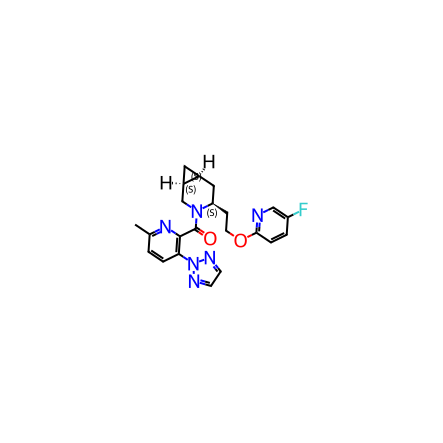 Cc1ccc(-n2nccn2)c(C(=O)N2C[C@H]3C[C@H]3C[C@H]2CCOc2ccc(F)cn2)n1